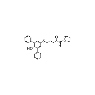 O=C(CCCSc1cc(-c2ccccc2)c(O)c(-c2ccccc2)c1)NC1CC2CCC1C2